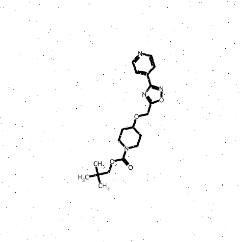 CC(C)(C)COC(=O)N1CCC(OCc2nc(-c3ccncc3)no2)CC1